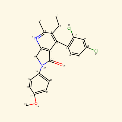 CCc1c(C)nc2c(c1-c1ccc(Cl)cc1Cl)C(=O)N(c1ccc(OC)cc1)C2